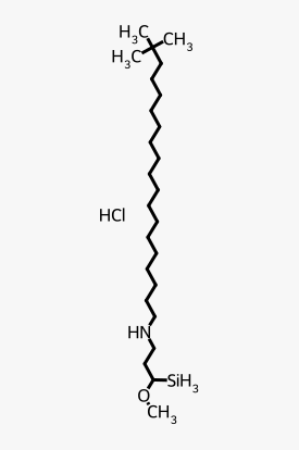 COC([SiH3])CCNCCCCCCCCCCCCCCCCCC(C)(C)C.Cl